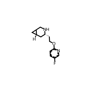 Fc1ccc(OCC[C@@H]2C[C@@H]3CC3CN2)nc1